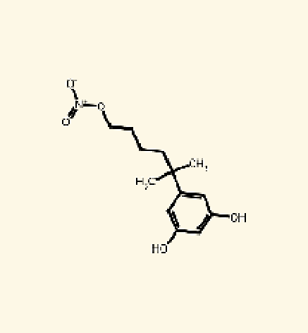 CC(C)(CCCCO[N+](=O)[O-])c1cc(O)cc(O)c1